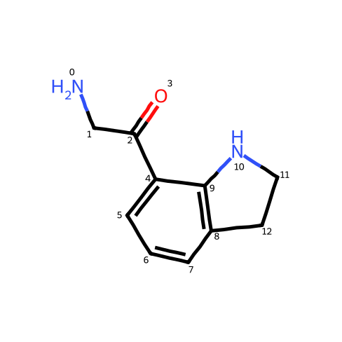 NCC(=O)c1cccc2c1NCC2